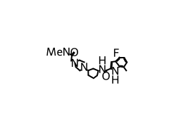 CNC(=O)CN1CCN(C2CCC[C@@H](NC(=O)c3cc4c(F)ccc(C)c4[nH]3)C2)CC1